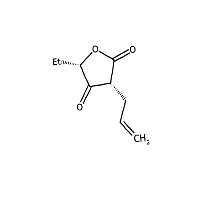 C=CC[C@H]1C(=O)O[C@@H](CC)C1=O